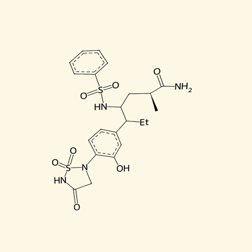 CCC(c1ccc(N2CC(=O)NS2(=O)=O)c(O)c1)C(C[C@H](C)C(N)=O)NS(=O)(=O)c1ccccc1